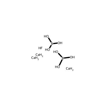 F.OB(O)O.OB(O)O.[CaH2].[CaH2].[CaH2]